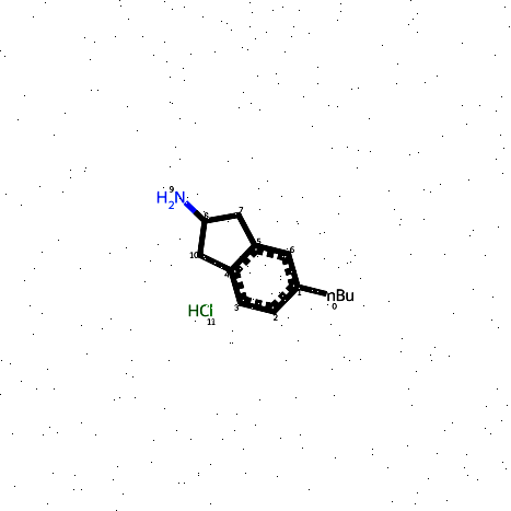 CCCCc1ccc2c(c1)CC(N)C2.Cl